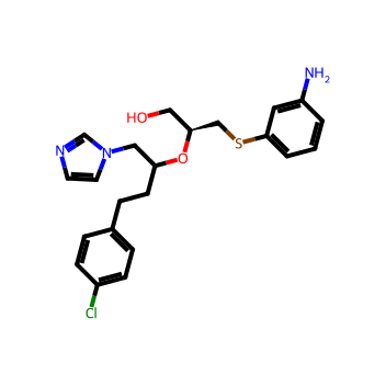 Nc1cccc(SC[C@H](CO)OC(CCc2ccc(Cl)cc2)Cn2ccnc2)c1